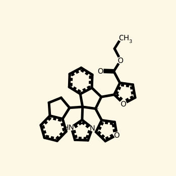 CCOC(=O)c1ccoc1C1[C](c2ccoc2)C(c2ncc[nH]2)(C2CCc3ccccc32)c2ccccc21